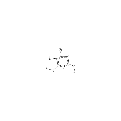 CCc1[c]c(CC)c(Cl)c(Cl)c1